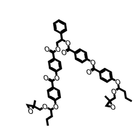 CCCC(OCC1(C)CO1)Oc1ccc(C(=O)Oc2ccc(C(=O)OCC(OC(=O)c3ccc(OC(=O)c4ccc(OC(CCC)OCC5(C)CO5)cc4)cc3)c3ccccc3)cc2)cc1